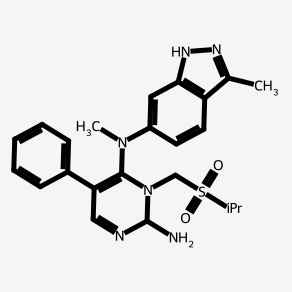 Cc1n[nH]c2cc(N(C)C3=C(c4ccccc4)C=NC(N)N3CS(=O)(=O)C(C)C)ccc12